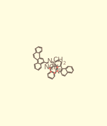 C=C(/N=C(\N=C(/C)c1ccccc1-n1c2ccccc2c2c3ccccc3ccc21)c1cc2c3ccccc3ccc2c2ccccc12)c1ccccc1